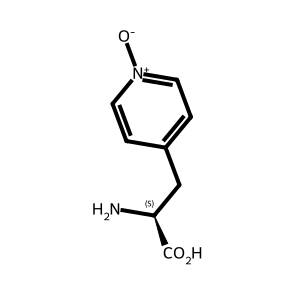 N[C@@H](Cc1cc[n+]([O-])cc1)C(=O)O